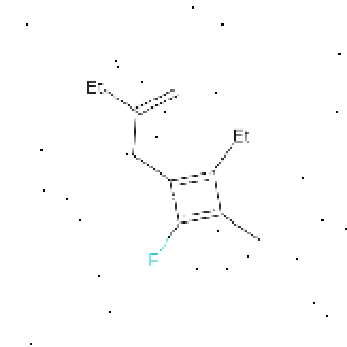 C=C(CC)CC1=C(CC)C(C)=C1F